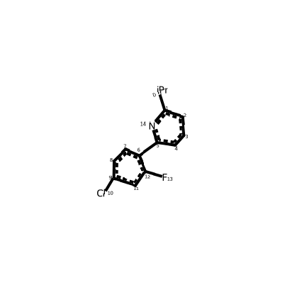 CC(C)c1cccc(-c2ccc(Cl)cc2F)n1